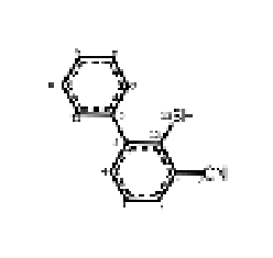 N#Cc1cccc(-c2ccccc2)c1S